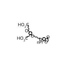 CCCc1c(OCCCCCOc2ccc(C(=O)CCCC(=O)O)cc2CCC(=O)O)ccc2c1OCCC2=O